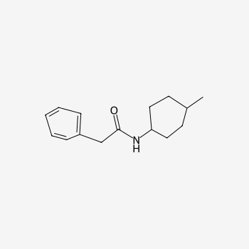 CC1CCC(NC(=O)Cc2ccccc2)CC1